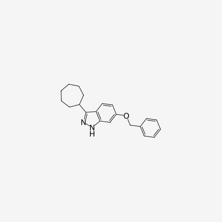 c1ccc(COc2ccc3c(C4CCCCCC4)n[nH]c3c2)cc1